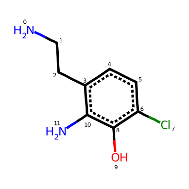 NCCc1ccc(Cl)c(O)c1N